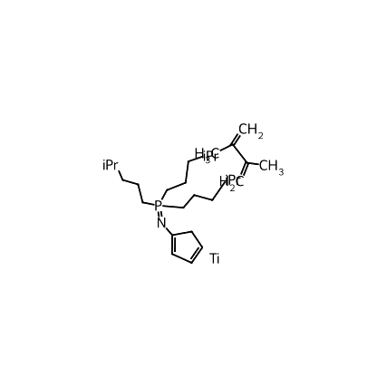 C=C(C)C(=C)C.CC(C)CCCP(CCCC(C)C)(CCCC(C)C)=NC1=CC=CC1.[Ti]